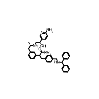 C[C@H](Cc1cccc(C(Cc2ccc(CNC(c3ccccc3)c3ccccc3)cc2)C(N)=O)c1)NC[C@@H](O)c1ccc(N)nc1